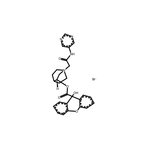 O=C(C[N+]12CCC(CC1)[C@@H](OC(=O)C1(O)c3ccccc3Oc3ccccc31)C2)Nc1cncnc1.[Br-]